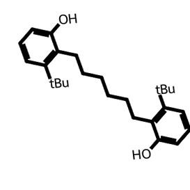 CC(C)(C)c1cccc(O)c1CCCCCCc1c(O)cccc1C(C)(C)C